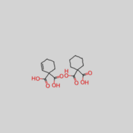 O=C(O)C1(C(=O)O)C=CCCC1.O=C(O)C1(C(=O)O)CCCCC1